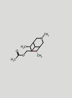 CC(=O)OCCC1C2CN(C)CC1[C@H](C)C[C@H]2C